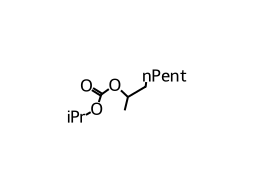 CCCCCCC(C)OC(=O)OC(C)C